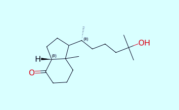 C[C@H](CCCC(C)(C)O)C1CC[C@H]2C(=O)CCCC12C